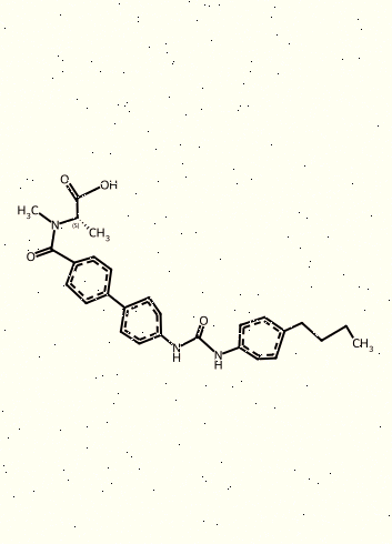 CCCCc1ccc(NC(=O)Nc2ccc(-c3ccc(C(=O)N(C)[C@@H](C)C(=O)O)cc3)cc2)cc1